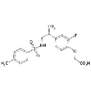 Cc1ccc(S(=O)(=O)NCC(C)c2ccc(OCC(=O)O)c(F)c2)cc1